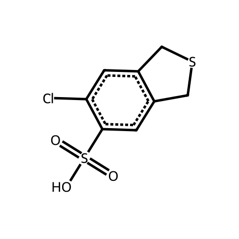 O=S(=O)(O)c1cc2c(cc1Cl)CSC2